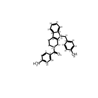 Nc1ccc(C(=O)N2CCc3c(n(Cc4ccc(O)cc4)c4ccccc34)C2)cn1